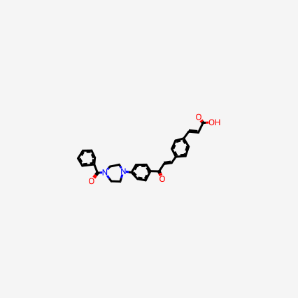 O=C(O)C=Cc1ccc(C=CC(=O)c2ccc(N3CCN(C(=O)c4ccccc4)CC3)cc2)cc1